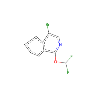 FC(F)Oc1ncc(Br)c2ccccc12